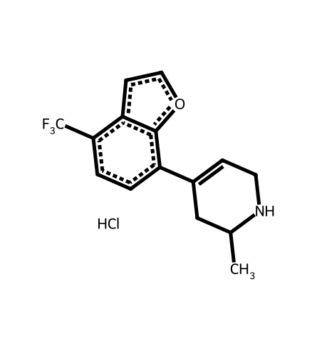 CC1CC(c2ccc(C(F)(F)F)c3ccoc23)=CCN1.Cl